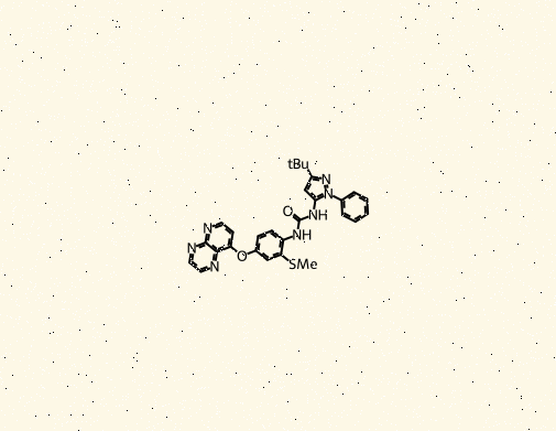 CSc1cc(Oc2ccnc3nccnc23)ccc1NC(=O)Nc1cc(C(C)(C)C)nn1-c1ccccc1